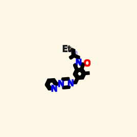 CC/C=C(\C)CN1Cc2cc(CN3CCN(c4ccccn4)CC3)cc(C)c2C1=O